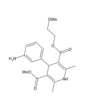 COCCOC(=O)C1=C(C)NC(C)=C(C(=O)OC)C1c1cccc(N)c1